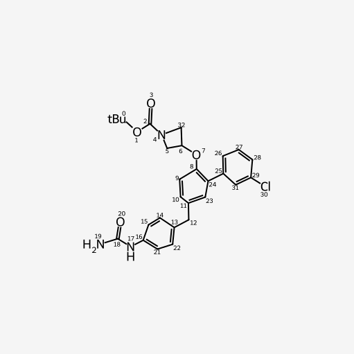 CC(C)(C)OC(=O)N1CC(Oc2ccc(Cc3ccc(NC(N)=O)cc3)cc2-c2cccc(Cl)c2)C1